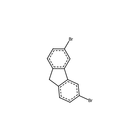 Brc1ccc2c(c1)-c1cc(Br)ccc1C2